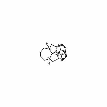 Oc1cccc2c1C13c4c(O)cccc4C[C@H]1CCCC[C@@H]3C2